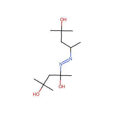 CC(CC(C)(C)O)/N=N/C(C)(O)CC(C)(C)O